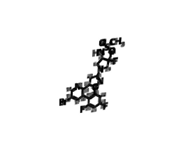 CS(=O)(=O)N[C@@H]1CN(C2=NOC(c3ncc(Br)cc3-c3c(F)cc(F)cc3F)C2)CC1(F)F